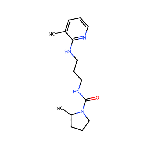 N#Cc1cccnc1NCCCNC(=O)N1CCCC1C#N